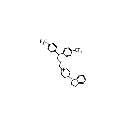 FC(F)(F)c1ccc(C(CCCN2CCC(N3CCc4ccccc43)CC2)c2ccc(C(F)(F)F)cc2)cc1